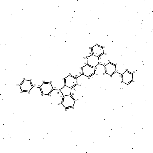 c1ccc(-c2ccc(N3c4ccccc4Sc4cc(-c5ccc6c(c5)c5ccccc5n6-c5ccc(-c6ccccc6)cc5)ccc43)cc2)cc1